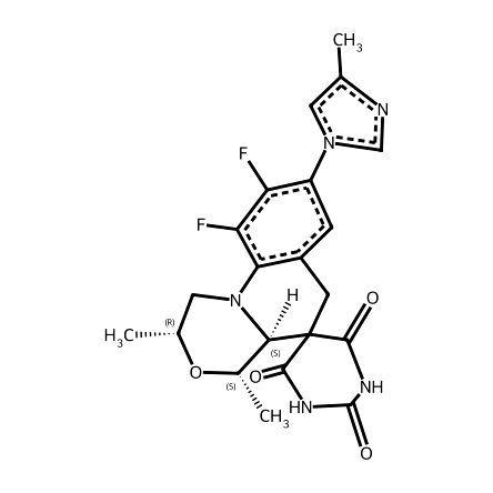 Cc1cn(-c2cc3c(c(F)c2F)N2C[C@@H](C)O[C@@H](C)[C@@H]2C2(C3)C(=O)NC(=O)NC2=O)cn1